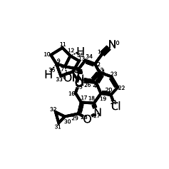 N#Cc1ccnc([C@@]2(O)[C@@H]3CC[C@H]2C[C@@H](OCc2c(-c4c(Cl)cccc4Cl)noc2C2CC2)C3)c1